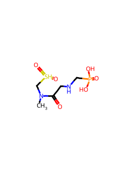 CN(C[SH](=O)=O)C(=O)CNCP(=O)(O)O